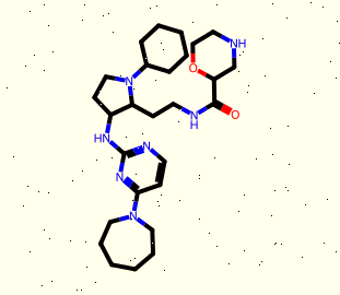 O=C(NCCC1C(Nc2nccc(N3CCCCCC3)n2)CCN1C1CCCCC1)C1CNCCO1